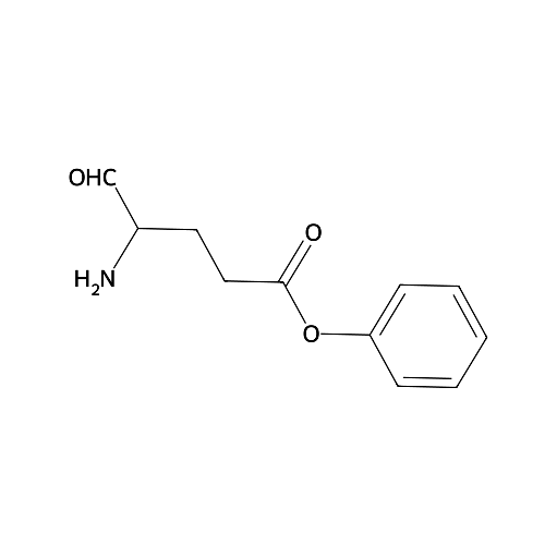 NC(C=O)CCC(=O)Oc1ccccc1